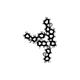 c1ccc2cc(N(c3ccc4c(c3)oc3ccccc34)c3cccc4c3sc3c4cc4ccc5c6oc7ccccc7c6cc6c5c4c3n6-c3ccc(-c4ccc5sc6ccccc6c5c4)cc3)ccc2c1